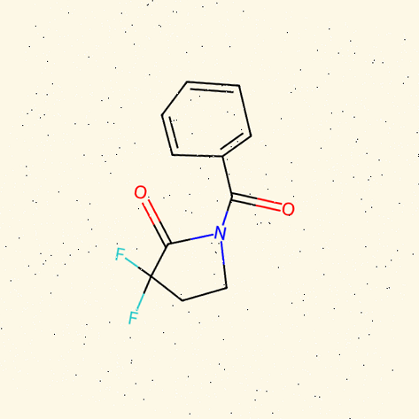 O=C(c1ccccc1)N1CCC(F)(F)C1=O